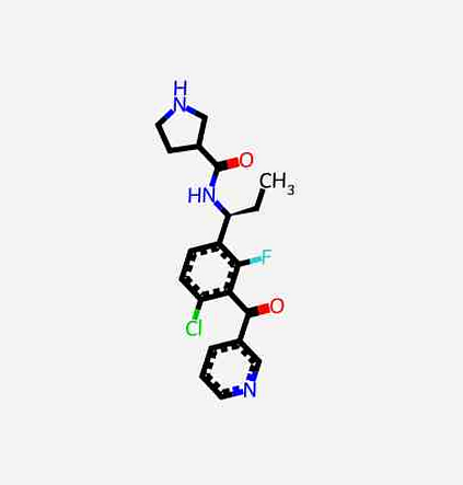 CC[C@H](NC(=O)C1CCNC1)c1ccc(Cl)c(C(=O)c2cccnc2)c1F